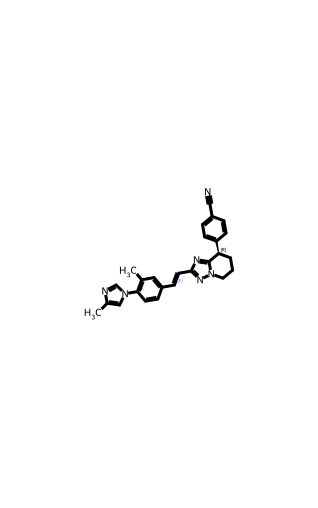 Cc1cn(-c2ccc(/C=C/c3nc4n(n3)CCC[C@@H]4c3ccc(C#N)cc3)cc2C)cn1